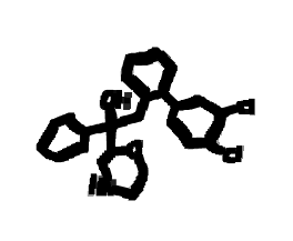 OC(Cc1ccccc1-c1ccc(Cl)c(Cl)c1)(c1ccccc1)C1CNCCO1